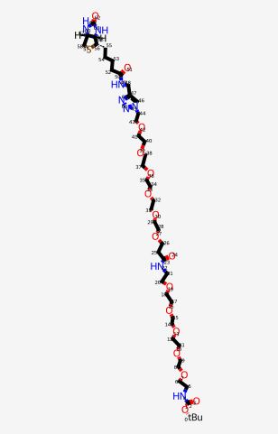 CC(C)(C)OC(=O)NCCOCCOCCOCCOCCOCCNC(=O)CCOCCOCCOCCOCCOCCOCCn1cc(CNC(=O)CCCC[C@@H]2SC[C@@H]3NC(=O)N[C@@H]32)nn1